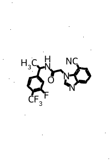 CC(NC(=O)Cn1cnc2cccc(C#N)c21)c1ccc(C(F)(F)F)c(F)c1